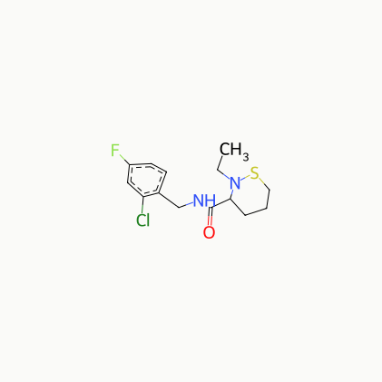 CCN1SCCCC1C(=O)NCc1ccc(F)cc1Cl